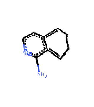 Nc1nccc2c1=CCCC=2